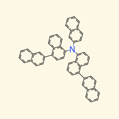 c1ccc2cc(-c3cccc4c(N(c5ccc6ccccc6c5)c5ccc(-c6ccc7ccccc7c6)c6ccccc56)cccc34)ccc2c1